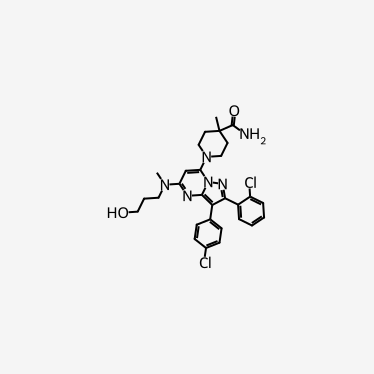 CN(CCCO)c1cc(N2CCC(C)(C(N)=O)CC2)n2nc(-c3ccccc3Cl)c(-c3ccc(Cl)cc3)c2n1